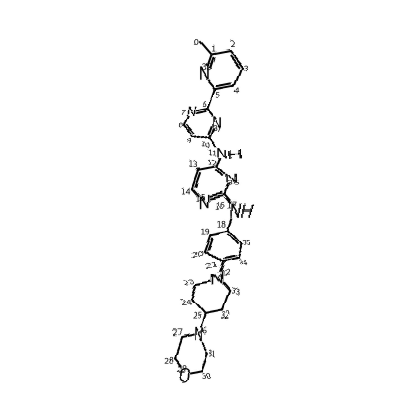 Cc1cccc(-c2nccc(Nc3ccnc(Nc4ccc(N5CCC(N6CCOCC6)CC5)cc4)n3)n2)n1